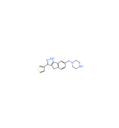 c1cc(-c2n[nH]c3c2Cc2ccc(CN4CCNCC4)cc2-3)cs1